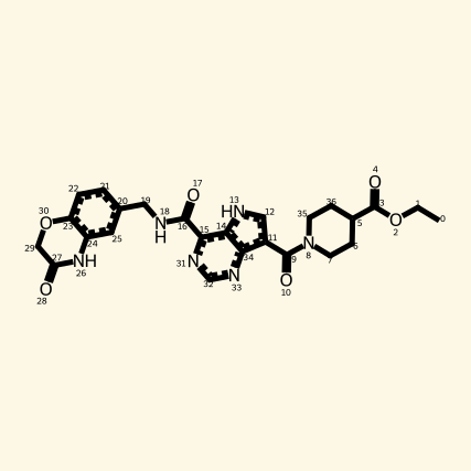 CCOC(=O)C1CCN(C(=O)c2c[nH]c3c(C(=O)NCc4ccc5c(c4)NC(=O)CO5)ncnc23)CC1